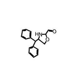 O=CC1NC(C(c2ccccc2)c2ccccc2)CO1